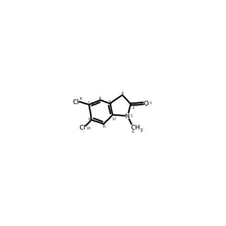 CN1C(=O)Cc2cc(Cl)c(Cl)cc21